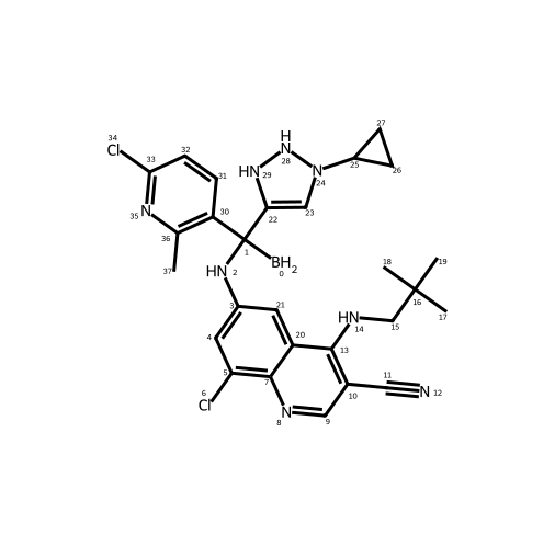 BC(Nc1cc(Cl)c2ncc(C#N)c(NCC(C)(C)C)c2c1)(C1=CN(C2CC2)NN1)c1ccc(Cl)nc1C